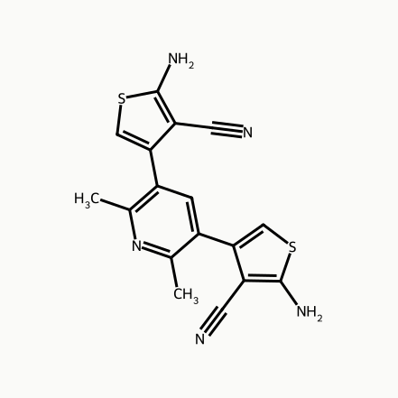 Cc1nc(C)c(-c2csc(N)c2C#N)cc1-c1csc(N)c1C#N